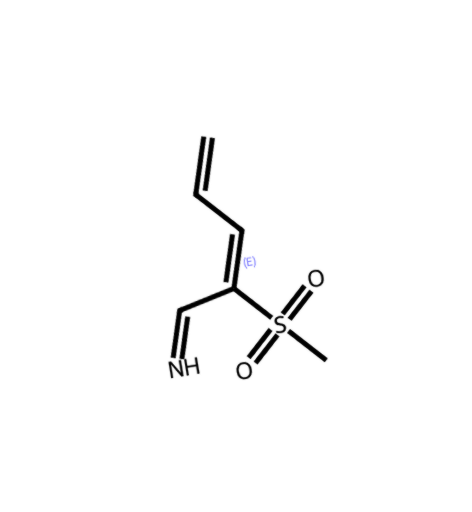 C=C/C=C(\C=N)S(C)(=O)=O